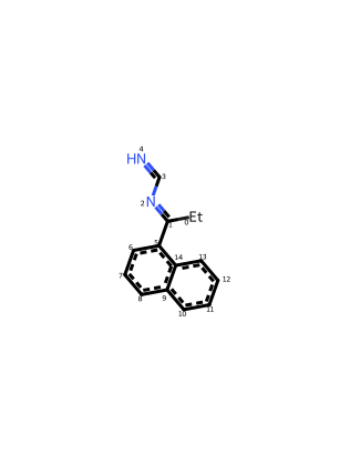 CC/C(=N\C=N)c1cccc2ccccc12